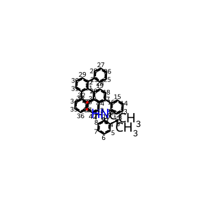 CC(C)(C)c1ccccc1Nc1ccccc1-c1ccc(-c2c(-c3ccccc3)cccc2-c2ccccc2)c2ccccc12